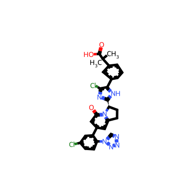 CC(C)(C(=O)O)c1cccc(-c2[nH]c([C@@H]3CCc4cc(-c5cc(Cl)ccc5-n5cnnn5)cc(=O)n43)nc2Cl)c1